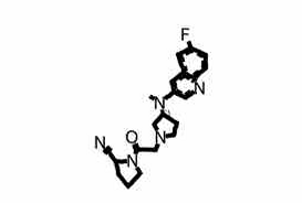 CN(c1cnc2ccc(F)cc2c1)[C@H]1CCN(CC(=O)N2CCCC2C#N)C1